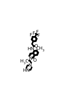 Cc1ccc2c(=O)n(C(C)CN3CCNCC3)ccc2c1NC(=O)Cc1ccc(C(F)(F)F)c(F)c1